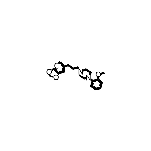 COc1ccccc1N1CCN(CCCc2ccc3c(c2)OCO3)CC1